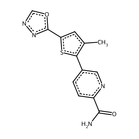 Cc1cc(-c2nnco2)sc1-c1ccc(C(N)=O)nc1